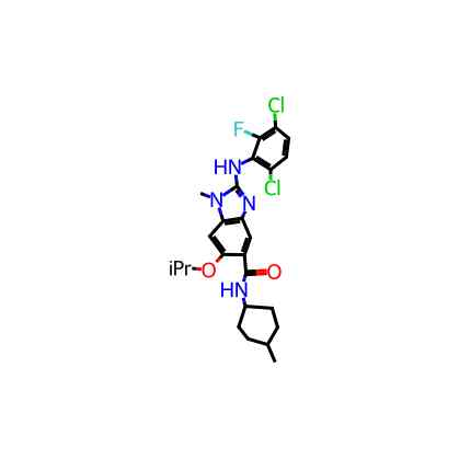 CC1CCC(NC(=O)c2cc3nc(Nc4c(Cl)ccc(Cl)c4F)n(C)c3cc2OC(C)C)CC1